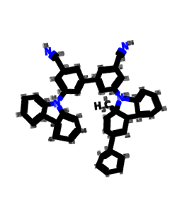 CC12C=CC(c3ccccc3)=CC1c1ccccc1N2c1cc(C#N)cc(-c2cc(C#N)cc(-n3c4ccccc4c4ccccc43)c2)c1